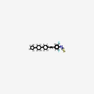 Fc1cc(C#CC2=CCC(C3CCC(C4CCCC4)CC3)CC2)cc(F)c1N=C=S